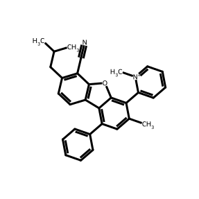 Cc1cc(-c2ccccc2)c2c(oc3c(C#N)c(CC(C)C)ccc32)c1-c1cccc[n+]1C